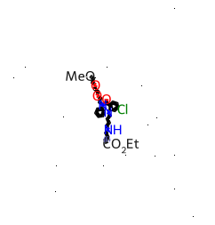 CCOC(=O)/C=C/CNCCCCN1c2cc(Cl)ccc2C(=O)N(CCOCCOCCOC)c2ccccc21